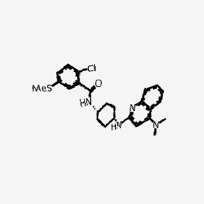 CSc1ccc(Cl)c(C(=O)N[C@H]2CC[C@@H](Nc3cc(N(C)C)c4ccccc4n3)CC2)c1